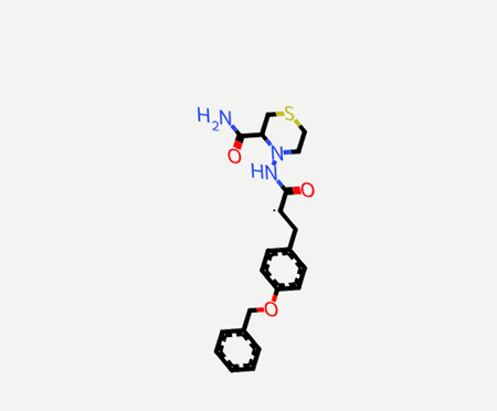 NC(=O)C1CSCCN1NC(=O)[CH]Cc1ccc(OCc2ccccc2)cc1